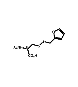 CC(=O)N[C@@H](CSSCc1ccco1)C(=O)O